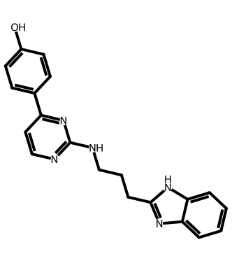 Oc1ccc(-c2ccnc(NCCCc3nc4ccccc4[nH]3)n2)cc1